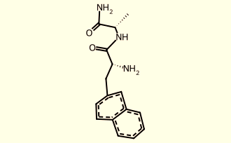 C[C@H](NC(=O)[C@H](N)Cc1ccc2ccccc2c1)C(N)=O